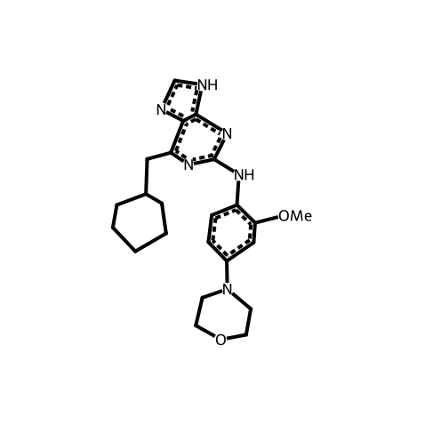 COc1cc(N2CCOCC2)ccc1Nc1nc(CC2CCCCC2)c2nc[nH]c2n1